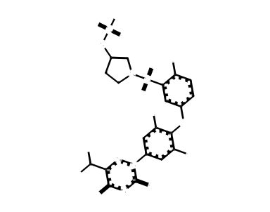 CCS(=O)(=O)NC1CCN(S(=O)(=O)c2cc(Oc3c(Cl)cc(-n4nc(C(F)F)c(=O)[nH]c4=O)cc3Cl)ccc2O)C1